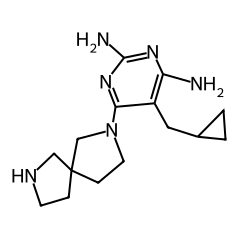 Nc1nc(N)c(CC2CC2)c(N2CCC3(CCNC3)C2)n1